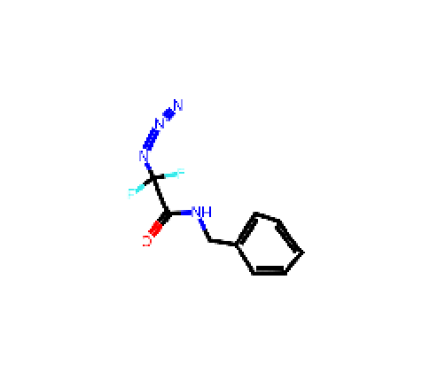 [N-]=[N+]=NC(F)(F)C(=O)NCc1ccccc1